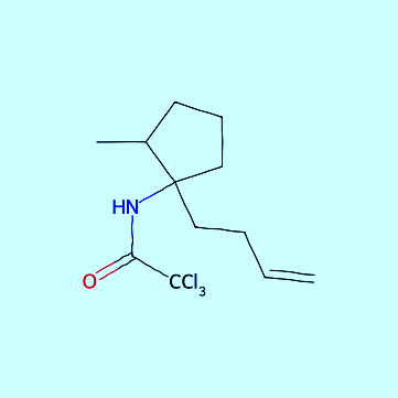 C=CCCC1(NC(=O)C(Cl)(Cl)Cl)CCCC1C